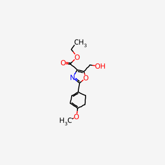 CCOC(=O)c1nc(C2=CC=C(OC)CC2)oc1CO